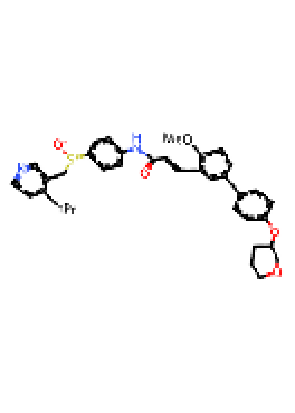 CCCc1ccncc1C[S@@+]([O-])c1ccc(NC(=O)/C=C/c2cc(-c3ccc(OC4CCCOC4)cc3)ccc2OC)cc1